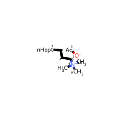 CC(=O)[O-].CCCCCCCCCC[N+](C)(C)C